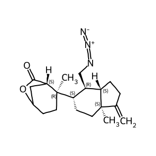 C=C1CC[C@H]2[C@H](CN=[N+]=[N-])[C@@H]([C@@]3(C)CCC4C[C@@H]3C(=O)O4)CC[C@]12C